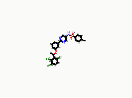 Cc1ccc(S(=O)(=O)Nc2cnc(-c3cccc(OC(C)c4c(Cl)ccc(F)c4Cl)c3)nc2)cc1